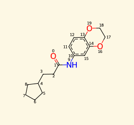 O=C(CCC1CCCC1)Nc1ccc2c(c1)OCCO2